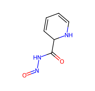 O=NNC(=O)C1C=CC=CN1